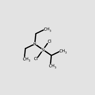 CCN(CC)[Si](Cl)(Cl)C(C)C